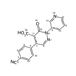 N#Cc1ccc(-c2cnn(-c3cccnc3)c(=O)c2C(=O)O)cc1